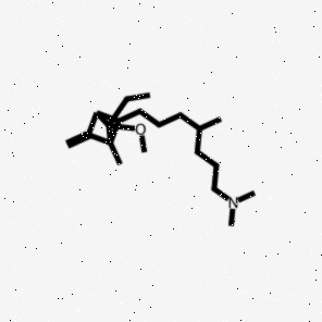 C=C1C2C(CCCC(C)CCCN(C)C)C1(C)C2(CC)OC